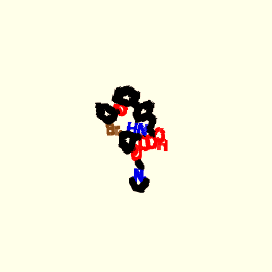 O=C(NC(Cc1ccc(-c2ccccc2Oc2ccccc2)cc1)C(=O)O)c1cc(Br)ccc1OCCN1CCCC1